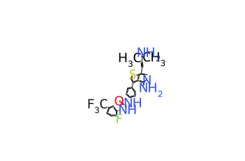 CC(C)(N)C#Cc1cnc(N)c2c(-c3ccc(NC(=O)Nc4cc(C(F)(F)F)ccc4F)cc3)csc12